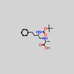 C[C@H](NC[C@@H](CCc1ccccc1)NC(=O)OC(C)(C)C)C(=O)O